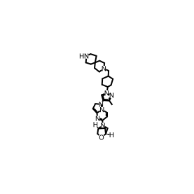 Cc1nn(C2CCC(CN3CCC4(CCNCC4)CC3)CC2)cc1N1CC=C2N=C(N3C[C@H]4C[C@@H]3CO4)C=CN21